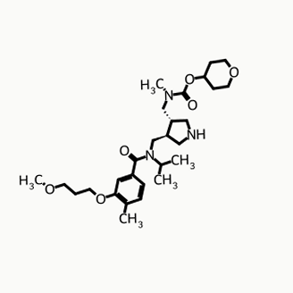 COCCCOc1cc(C(=O)N(C[C@@H]2CNC[C@H]2CN(C)C(=O)OC2CCOCC2)C(C)C)ccc1C